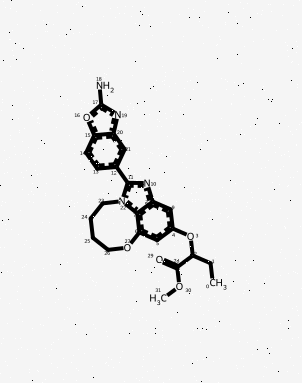 CCC(Oc1cc2c3c(c1)nc(-c1ccc4oc(N)nc4c1)n3CCCCO2)C(=O)OC